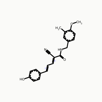 COc1ccc(CNC(=O)/C(C#N)=C/C=C/c2ccc(O)cc2)cc1C